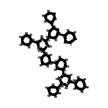 c1ccc(-c2cc(-c3ccccc3)cc(-c3nc(-c4ccccc4)nc(-c4cccc(-c5cccc(-c6cc(-c7ccccc7)nc(-c7ccccc7)n6)c5)c4)n3)c2)cc1